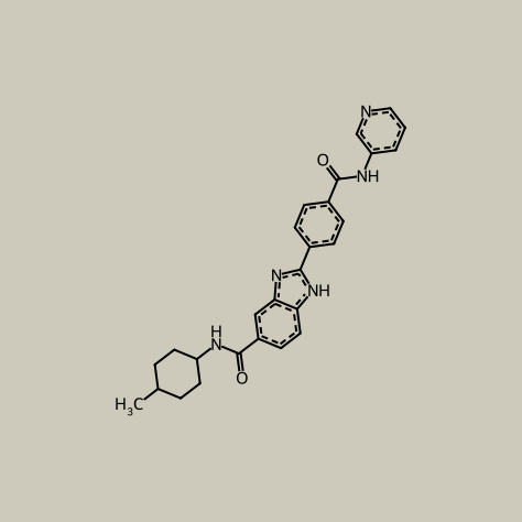 CC1CCC(NC(=O)c2ccc3[nH]c(-c4ccc(C(=O)Nc5cccnc5)cc4)nc3c2)CC1